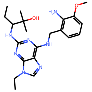 CCC(Nc1nc(NCc2cccc(OC)c2N)c2ncn(CC)c2n1)C(C)(C)O